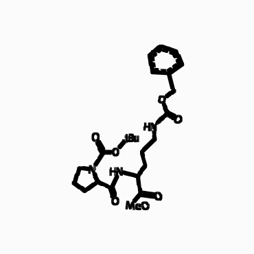 COC(=O)C(CCCNC(=O)OCc1ccccc1)NC(=O)C1CCCN1C(=O)OC(C)(C)C